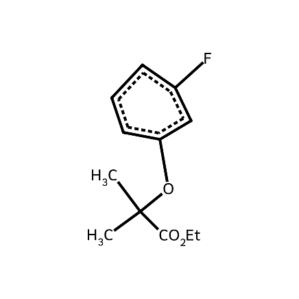 CCOC(=O)C(C)(C)Oc1cccc(F)c1